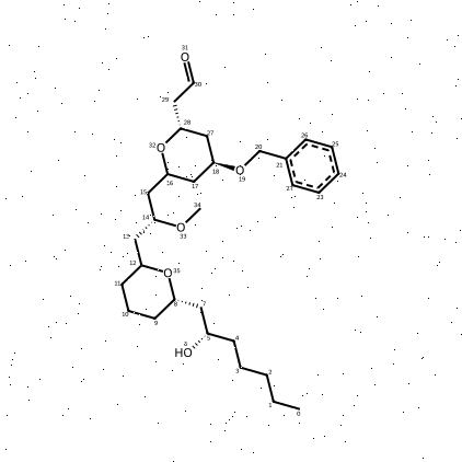 CCCCC[C@H](O)C[C@@H]1CCCC(C[C@H](CC2C[C@H](OCc3ccccc3)C[C@@H](CC=O)O2)OC)O1